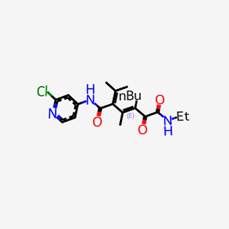 CCCC/C(C(=O)C(=O)NCC)=C(/C)C(C(=O)Nc1ccnc(Cl)c1)=C(C)C